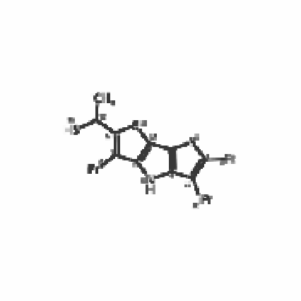 CCc1sc2c([nH]c3c(C(C)C)c(C(C)S)sc32)c1C(C)C